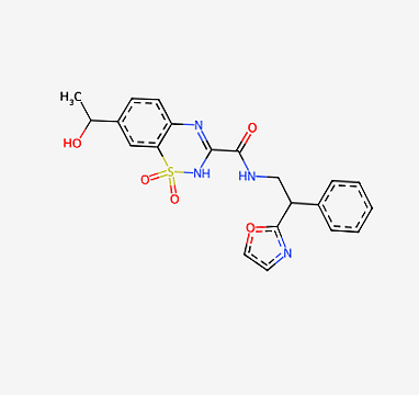 CC(O)c1ccc2c(c1)S(=O)(=O)NC(C(=O)NCC(c1ccccc1)c1ncco1)=N2